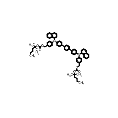 CCCCC(C)(C)OC(=O)OCc1ccc(N(c2ccc(-c3ccc(-c4ccc(N(c5ccc(COC(=O)OC(C)(C)CCCC)cc5)c5cccc6ccccc56)cc4)cc3)cc2)c2cccc3ccccc23)cc1